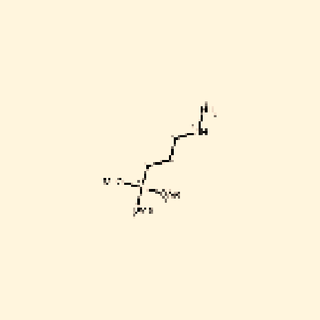 CO[Si](CCCNN)(OC)OC